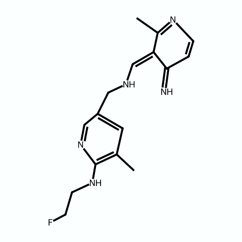 CC1=NC=CC(=N)/C1=C\NCc1cnc(NCCF)c(C)c1